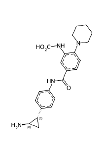 N[C@@H]1C[C@H]1c1ccc(NC(=O)c2ccc(N3CCCCC3)c(NC(=O)O)c2)cc1